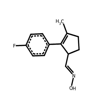 CC1=C(c2ccc(F)cc2)C(C=NO)CC1